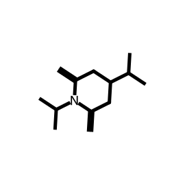 C=C1CC(C(C)C)CC(=C)N1C(C)C